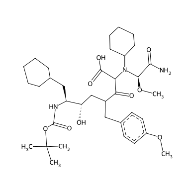 COc1ccc(CC(C[C@H](O)[C@H](CC2CCCCC2)NC(=O)OC(C)(C)C)C(=O)C(C(=O)O)N(C2CCCCC2)[C@H](OC)C(N)=O)cc1